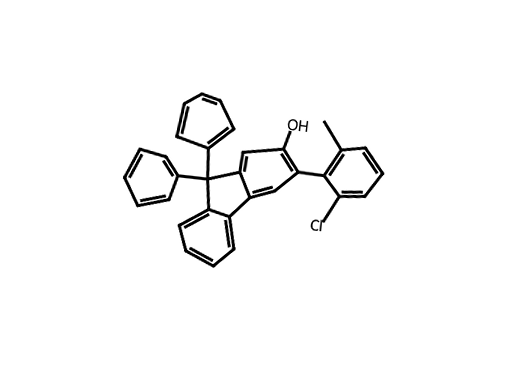 Cc1cccc(Cl)c1-c1cc2c(cc1O)C(c1ccccc1)(c1ccccc1)c1ccccc1-2